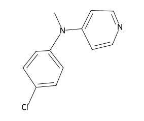 CN(c1ccncc1)c1ccc(Cl)cc1